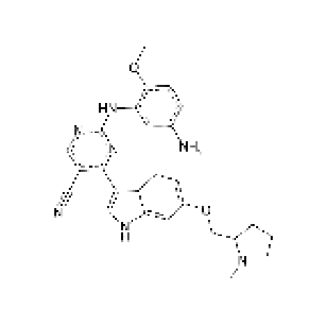 COc1ccc(N)cc1Nc1ncc(C#N)c(C2=CNC3=CC(OCC4CCCN4C)=CCC32)n1